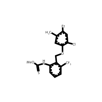 CCc1cc(Cl)c(OCc2c(NC(=S)OC)cccc2C(F)(F)F)cc1C